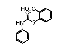 O=C(Nc1ccccc1)Sc1ccccc1C(=O)O